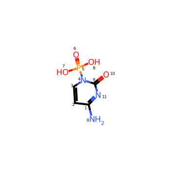 Nc1ccn(P(=O)(O)O)c(=O)n1